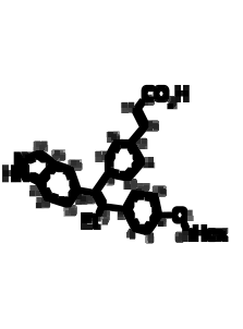 CCCCCCOc1ccc(/C(CC)=C(\c2ccc(/C=C/C(=O)O)cc2)c2ccc3[nH]ncc3c2)cc1